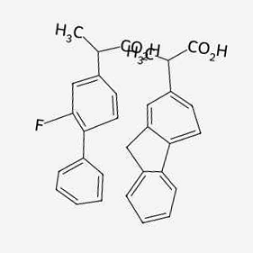 CC(C(=O)O)c1ccc(-c2ccccc2)c(F)c1.CC(C(=O)O)c1ccc2c(c1)Cc1ccccc1-2